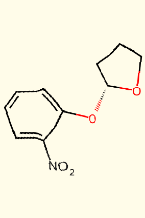 O=[N+]([O-])c1ccccc1O[C@@H]1CCCO1